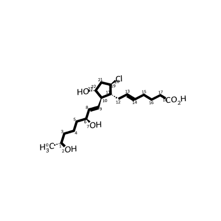 C[C@@H](O)CCC[C@H](O)C=C[C@@H]1[C@@H](CC=CCCCC(=O)O)[C@H](Cl)C[C@H]1O